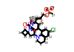 CC(C)(C)OC(=O)N1CC(N2CCCc3cc(Cl)cc(-c4ccnc5cc(COS(C)(=O)=O)sc45)c32)CC12CCC2